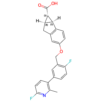 Cc1nc(F)ccc1-c1ccc(F)c(COc2ccc3c(c2)C[C@H]2[C@H](C(=O)O)[C@@H]32)c1